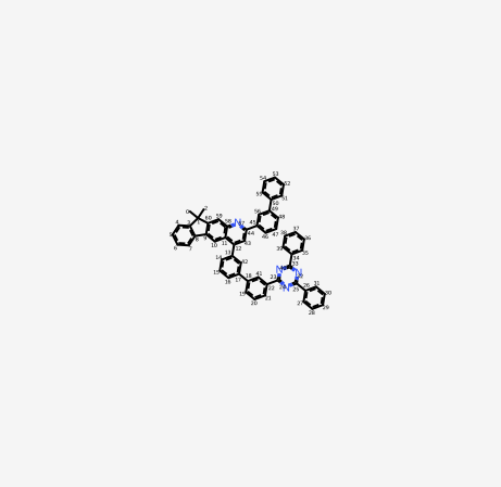 CC1(C)c2ccccc2-c2cc3c(-c4cccc(-c5cccc(-c6nc(-c7ccccc7)nc(-c7ccccc7)n6)c5)c4)cc(-c4cccc(-c5ccccc5)c4)nc3cc21